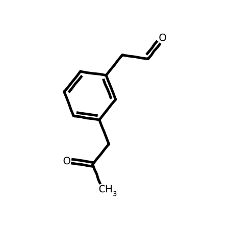 CC(=O)Cc1cccc(CC=O)c1